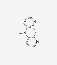 CN1c2cccnc2Cc2ncccc21